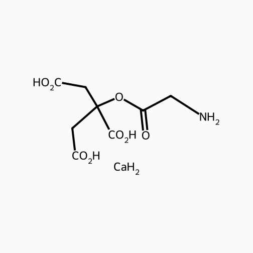 NCC(=O)OC(CC(=O)O)(CC(=O)O)C(=O)O.[CaH2]